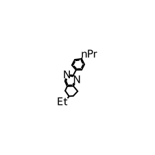 CCCc1ccc(-c2ncc3c(n2)CCC(CC)C3)cc1